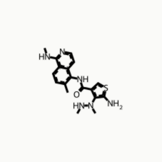 CNc1nccc2c(NC(=O)c3csc(N)c3N(C)NC)c(C)ccc12